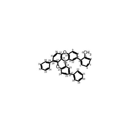 Cc1ccccc1-c1ccc2c(c1)B1c3cc(-c4ccccc4)ccc3Oc3c(-c4ccccc4)ccc(c31)O2